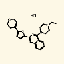 CCN1CCN(c2nc(-c3ccc(C4=CCOCC4)s3)cc3ccccc23)CC1.Cl